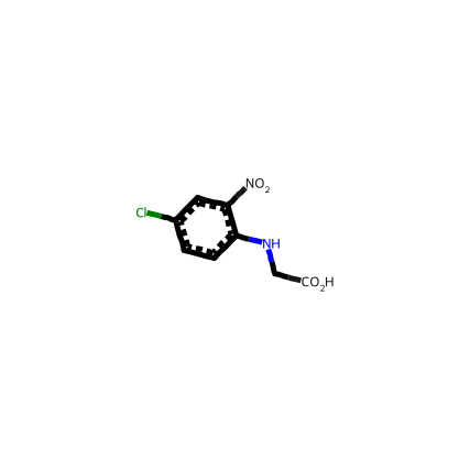 O=C(O)CNc1ccc(Cl)cc1[N+](=O)[O-]